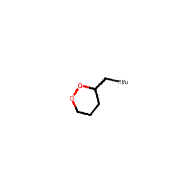 [CH2]CCCCC1CCCOO1